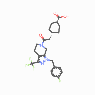 O=C(C[C@H]1CC[C@H](C(=O)O)CC1)N1CCc2c(C(F)(F)F)nn(Cc3ccc(F)cc3)c2C1